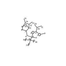 COC(OC(C)(CC1CC2CC1C(C)C2C)C(F)(F)F)C(C)C